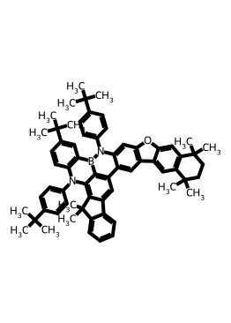 CC(C)(C)c1ccc(N2B3c4cc(C(C)(C)C)ccc4N(c4ccc(C(C)(C)C)cc4)c4c3c(cc3c4C(C)(C)c4ccccc4-3)-c3cc4c(cc32)oc2cc3c(cc24)C(C)(C)CCC3(C)C)cc1